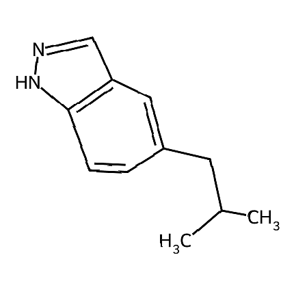 CC(C)Cc1ccc2[nH]ncc2c1